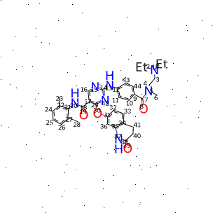 CCN(CC)CCN(C)C(=O)c1ccc(Nc2ncc(C(=O)Nc3c(C)cccc3C)c(Oc3ccc4c(c3)NC(=O)CC4)n2)cc1